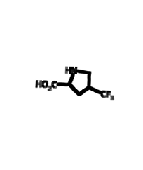 O=C(O)C1CC(C(F)(F)F)CN1